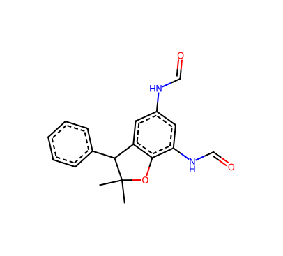 CC1(C)Oc2c(NC=O)cc(NC=O)cc2C1c1ccccc1